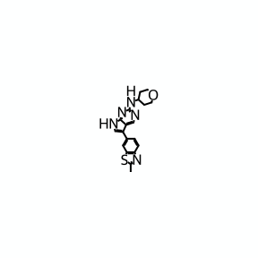 Cc1nc2ccc(-c3c[nH]c4nc(NC5CCOCC5)ncc34)cc2s1